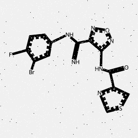 N=C(Nc1ccc(F)c(Br)c1)c1nonc1NC(=O)c1cscn1